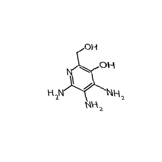 Nc1nc(CO)c(O)c(N)c1N